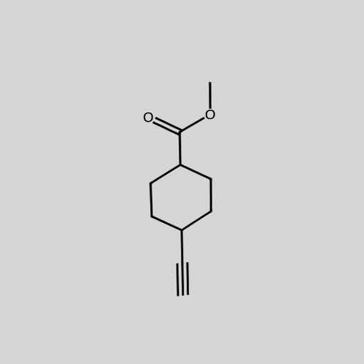 C#CC1CCC(C(=O)OC)CC1